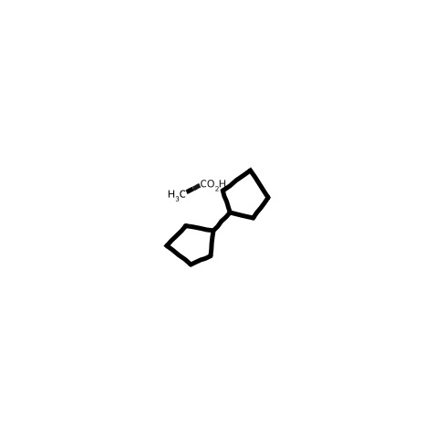 C1CCC(C2CCCC2)C1.CC(=O)O